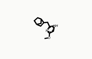 COc1c[nH]c(CC2CC3CCC2C3)n1